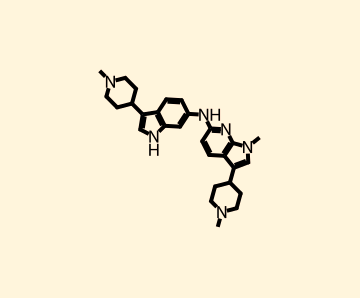 CN1CCC(c2c[nH]c3cc(Nc4ccc5c(C6CCN(C)CC6)cn(C)c5n4)ccc23)CC1